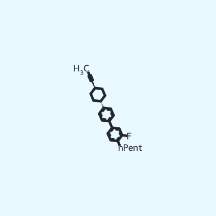 CC#C[C@H]1CC[C@H](c2ccc(-c3ccc(CCCCC)c(F)c3)cc2)CC1